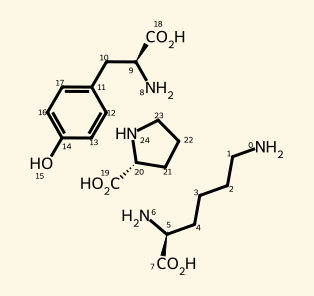 NCCCC[C@H](N)C(=O)O.N[C@@H](Cc1ccc(O)cc1)C(=O)O.O=C(O)[C@H]1CCCN1